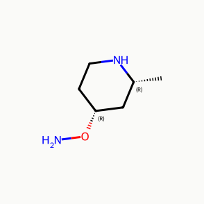 C[C@@H]1C[C@H](ON)CCN1